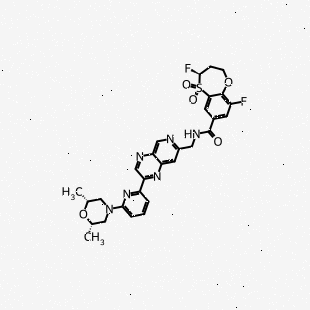 C[C@@H]1CN(c2cccc(-c3cnc4cnc(CNC(=O)c5cc(F)c6c(c5)S(=O)(=O)[C@@H](F)CCO6)cc4n3)n2)C[C@H](C)O1